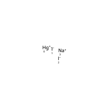 [Hg+].[I-].[I-].[Na+]